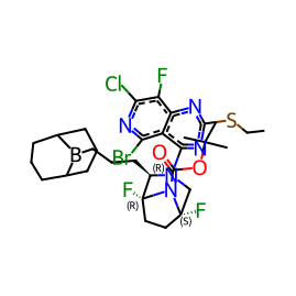 CCSc1nc(N2C[C@@]3(F)CC[C@@](F)([C@H]2CCCB2C4CCCC2CCC4)N3C(=O)OC(C)(C)C)c2c(Br)nc(Cl)c(F)c2n1